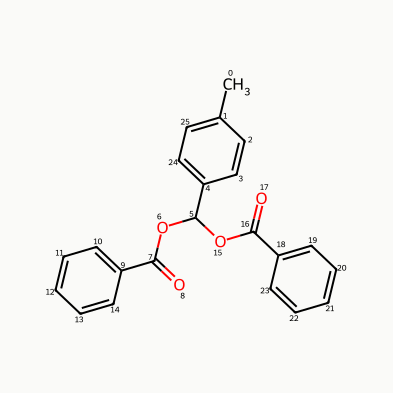 Cc1ccc(C(OC(=O)c2ccccc2)OC(=O)c2ccccc2)cc1